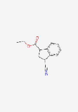 CCOC(=O)C1CC(C#N)c2ccccc21